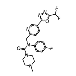 CN1CCN(C(=O)N(Cc2ccc(-c3nnc(C(F)F)o3)cn2)c2ccc(F)cc2)CC1